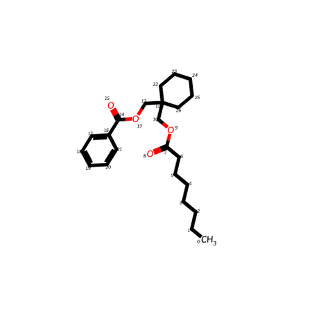 CCCCCCCC(=O)OCC1(COC(=O)c2ccccc2)CCCCC1